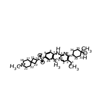 CCc1cnc(Nc2ccc(S(=O)(=O)C3CC4(CCN(C)CC4)C3)cc2C)nc1[C@H]1CC[C@@](C)(O)CC1